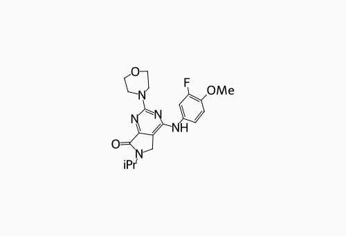 COc1ccc(Nc2nc(N3CCOCC3)nc3c2CN(C(C)C)C3=O)cc1F